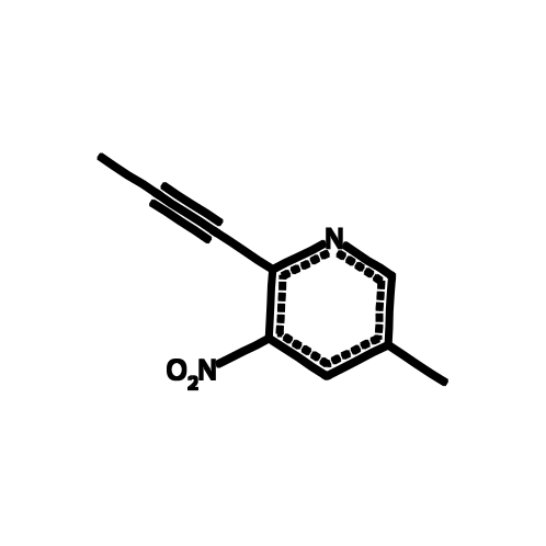 CC#Cc1ncc(C)cc1[N+](=O)[O-]